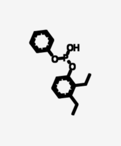 CCc1cccc(OP(O)Oc2ccccc2)c1CC